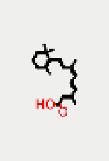 CC(C=C/C=C(/C)C=CC1=C(C)CCCC1(C)C)=CC(=O)O